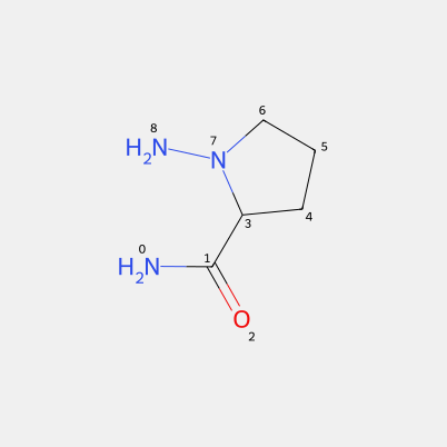 NC(=O)C1CCCN1N